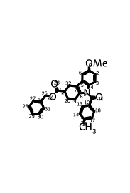 COc1ccc2c(c1)c1c(n2C(=O)c2ccc(C)cc2)CCC(C(=O)OCc2ccccc2)C1